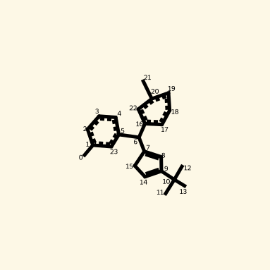 Cc1cccc(C(C2=CC(C(C)(C)C)=CC2)c2cccc(C)c2)c1